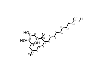 CCC(CCCC(CCCCCCCCCC(=O)O)C(=O)OCCO)CC(O)CO